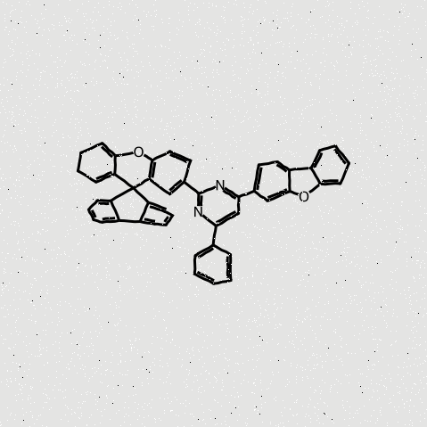 C1=C2Oc3ccc(-c4nc(-c5ccccc5)cc(-c5ccc6c(c5)oc5ccccc56)n4)cc3C3(C2=CCC1)c1ccccc1-c1ccccc13